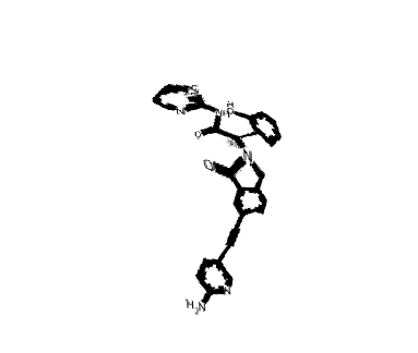 Nc1ccc(C#Cc2ccc3c(c2)C(=O)N([C@@H](C(=O)Nc2nccs2)c2ccccc2O)C3)cn1